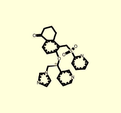 O=C1CCCc2c1ccc(O[C@H](Cn1ccnc1)c1cccnc1)c2CS(=O)(=O)c1ccccn1